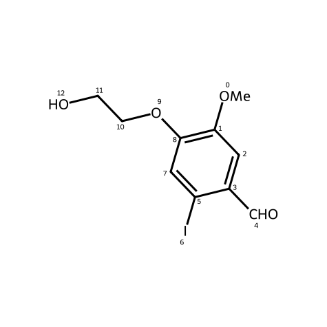 COc1cc(C=O)c(I)cc1OCCO